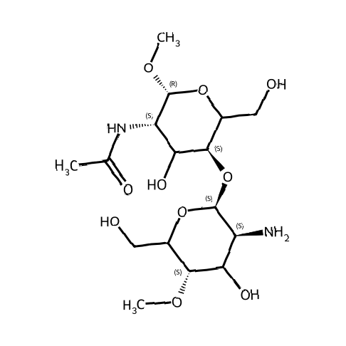 CO[C@@H]1C(CO)O[C@@H](O[C@@H]2C(CO)O[C@@H](OC)[C@@H](NC(C)=O)C2O)[C@@H](N)C1O